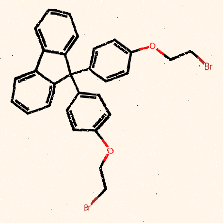 BrCCOc1ccc(C2(c3ccc(OCCBr)cc3)c3ccccc3-c3ccccc32)cc1